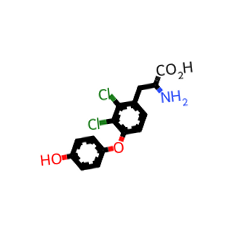 NC(Cc1ccc(Oc2ccc(O)cc2)c(Cl)c1Cl)C(=O)O